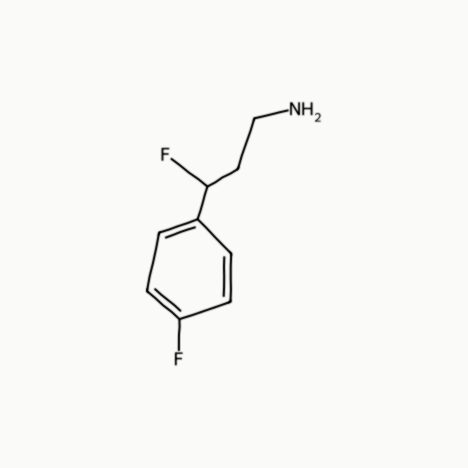 NCCC(F)c1ccc(F)cc1